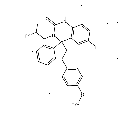 COc1ccc(CCC2(c3ccccc3)c3cc(F)ccc3NC(=O)N2CC(F)F)cc1